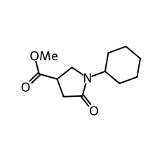 COC(=O)C1CC(=O)N(C2CCCCC2)C1